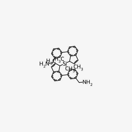 CC1=Cc2cccc(-c3cccc(CN)c3)c2C1[Si](C)(C)C1C(C)=Cc2cccc(-c3cccc(CN)c3)c21